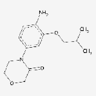 CC(C)COc1cc(N2CCOCC2=O)ccc1N